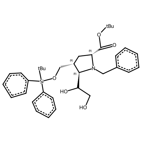 CC(C)(C)OC(=O)[C@H]1C[C@@H](CO[Si](c2ccccc2)(c2ccccc2)C(C)(C)C)[C@H](C(O)CO)N1Cc1ccccc1